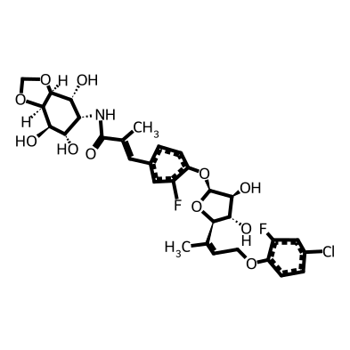 C/C(=C/COc1ccc(Cl)cc1F)[C@H]1O[C@@H](Oc2ccc(/C=C(\C)C(=O)N[C@@H]3[C@H](O)[C@@H](O)[C@H]4OCO[C@H]4[C@@H]3O)cc2F)[C@@H](O)[C@@H]1O